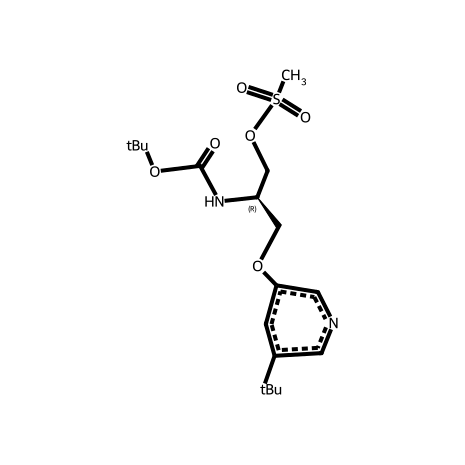 CC(C)(C)OC(=O)N[C@H](COc1cncc(C(C)(C)C)c1)COS(C)(=O)=O